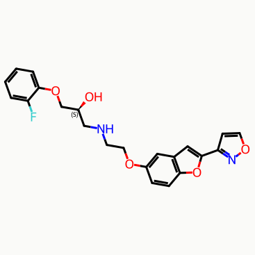 O[C@@H](CNCCOc1ccc2oc(-c3ccon3)cc2c1)COc1ccccc1F